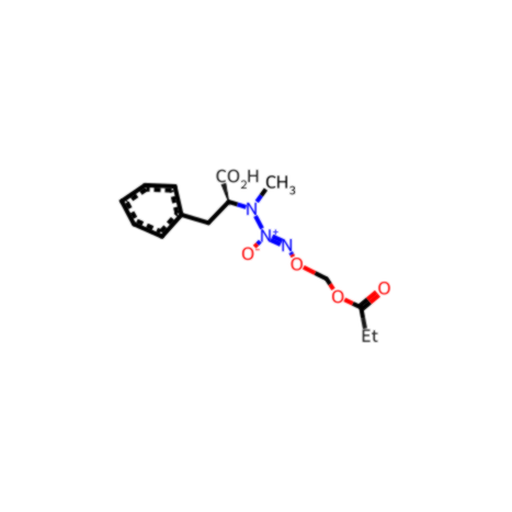 CCC(=O)OCON=[N+]([O-])N(C)[C@@H](Cc1ccccc1)C(=O)O